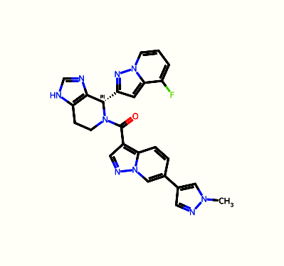 Cn1cc(-c2ccc3c(C(=O)N4CCc5[nH]cnc5[C@@H]4c4cc5c(F)cccn5n4)cnn3c2)cn1